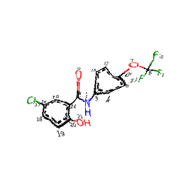 O=C(Nc1ccc(OC(F)(F)F)cc1)c1cc(Cl)ccc1O